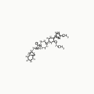 CCOc1cc(N2CCCN(C(=O)NCc3cc4ccccc4s3)CC2)ccc1-n1cnc(C)n1